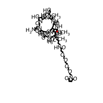 CC[C@H](C)[C@@H]1NC(=O)CNC(=O)[C@@H]2Cc3c([nH]c4c(CSCCCCNC(=O)CCOCCOCCOCCOCCN5C(=O)C=CC5=O)c(OC)ccc34)[S+]([O-])C[C@H](NC(=O)CNC1=O)C(=O)N[C@@H](CC(N)=O)C(=O)N1C[C@H](O)C[C@H]1C(=O)N[C@@H]([C@@H](C)[C@H](O)CO)C(=O)N2